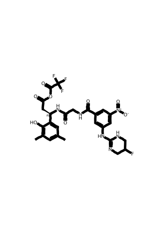 Cc1cc(C)c(O)c([C@@H](CC(=O)OC(=O)C(F)(F)F)NC(=O)CNC(=O)c2cc(NC3=NCC(F)CN3)cc([N+](=O)[O-])c2)c1